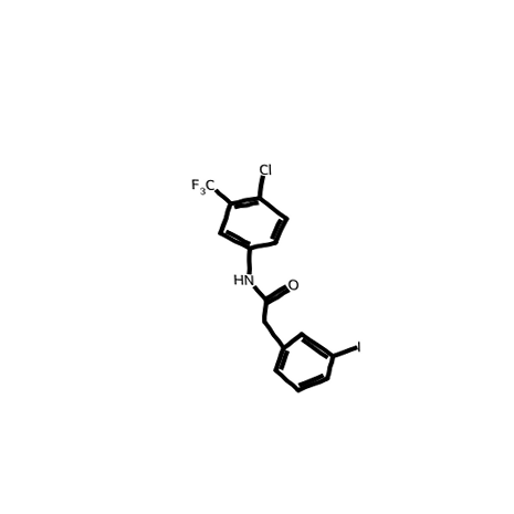 O=C(Cc1cccc(I)c1)Nc1ccc(Cl)c(C(F)(F)F)c1